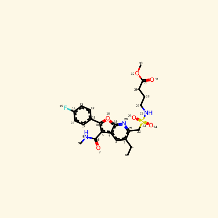 CCc1cc2c(C(=O)NC)c(-c3ccc(F)cc3)oc2nc1CS(=O)(=O)NCCCC(=O)OC